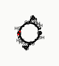 COC1CC(CCC(C)[C@@H]2OC(=O)/C=C/C(C)=C/C[C@H](O)CC3C=CCC(C[C@H](OC)[C@@H](C)[C@@H](O)C[C@@H](O)[C@H](C)[C@H](O)[C@@H](C)C([C@@H](C)CCC4C[C@H](OC)CC(C)O4)OC(=O)/C=C/C(C)=C/C[C@H](O)C[C@@H]4C=CC[C@@H](C[C@@H](OC)[C@H](C)C(O)C[C@@H](O)[C@H](C)[C@H](O)[C@H]2C)O4)O3)O[C@@H](C)C1